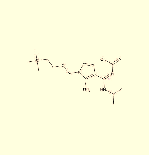 C=C(Cl)/N=C(/NC(C)C)c1ccn(COCC[Si](C)(C)C)c1N